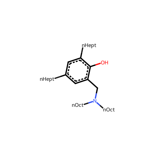 CCCCCCCCN(CCCCCCCC)Cc1cc(CCCCCCC)cc(CCCCCCC)c1O